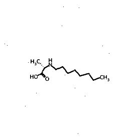 CCCCCCCCN[C@@H](C)C(=O)O